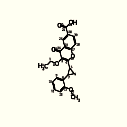 CCOc1c(C2CC2c2ccccc2OC)oc2ccc(C(=O)O)cc2c1=O